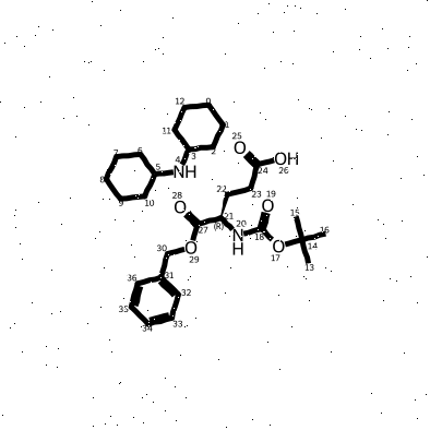 C1CCC(NC2CCCCC2)CC1.CC(C)(C)OC(=O)N[C@H](CCC(=O)O)C(=O)OCc1ccccc1